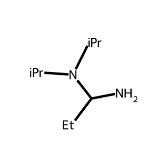 CCC(N)N(C(C)C)C(C)C